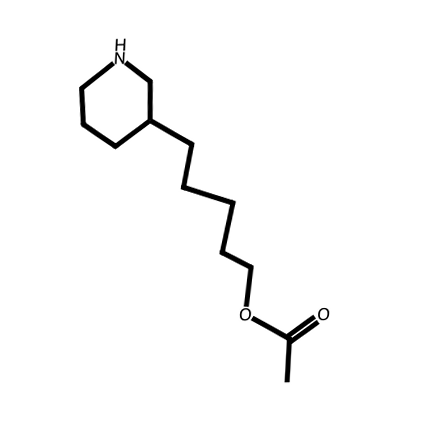 CC(=O)OCCCCCC1CCCNC1